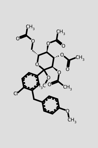 COc1ccc(Cc2cc(C3(OC)O[C@H](COC(C)=O)[C@@H](OC(C)=O)[C@H](OC(C)=O)[C@H]3OC(C)=O)ccc2Cl)cc1